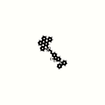 CCC1(CC)c2cc(/C=C/c3nnc(-c4cc(-c5ccccc5)c5c6ccccc6c6ccccc6c5c4-c4ccccc4)o3)ccc2-c2ccc(-n3c4ccccc4c4ccccc43)cc21